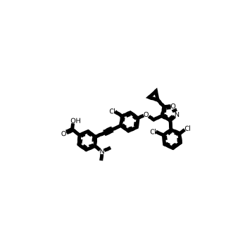 CN(C)c1ccc(C(=O)O)cc1C#Cc1ccc(OCc2c(-c3c(Cl)cccc3Cl)noc2C2CC2)cc1Cl